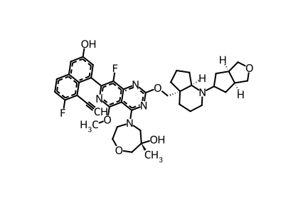 C#Cc1c(F)ccc2cc(O)cc(-c3nc(OC)c4c(N5CCOC[C@@](C)(O)C5)nc(OC[C@]56CCC[C@H]5N(C5C[C@H]7COC[C@H]7C5)CCC6)nc4c3F)c12